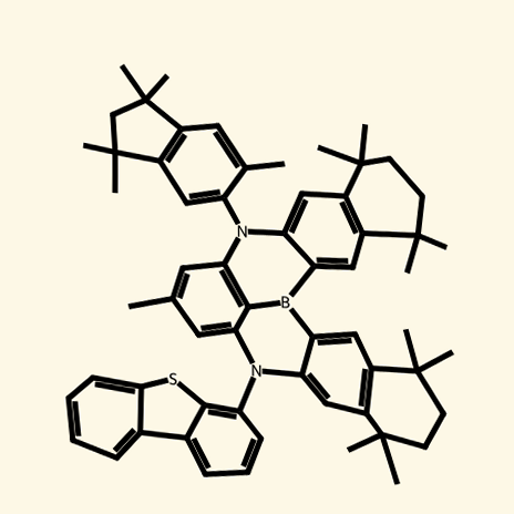 Cc1cc2c3c(c1)N(c1cccc4c1sc1ccccc14)c1cc4c(cc1B3c1cc3c(cc1N2c1cc2c(cc1C)C(C)(C)CC2(C)C)C(C)(C)CCC3(C)C)C(C)(C)CCC4(C)C